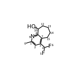 Cc1cc(C(F)F)c2c(n1)C(O)CCCC2